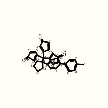 Cc1ccc(-c2ccc(C3(C(C4=CC(=O)C=C4)(C4=CC(=O)C=C4)C4=CC(=O)C=C4)CCCC3)cc2)cc1